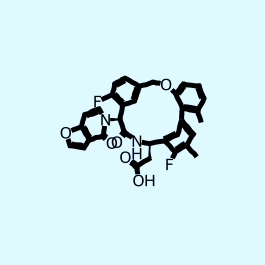 Cc1cc2cc(c1F)[C@@H](CC(=O)O)NC(=O)[C@@H](n1ccc3occc3c1=O)c1cc(ccc1F)COc1cccc(C)c1-2